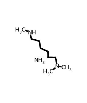 CNCCCCCCN(C)C.N